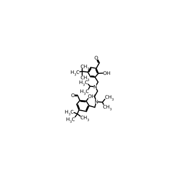 CC(C)N(CCN(Cc1cc(C(C)(C)C)cc(C=O)c1O)C(C)C)Cc1cc(C(C)(C)C)cc(C=O)c1O